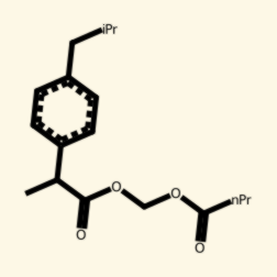 CCCC(=O)OCOC(=O)C(C)c1ccc(CC(C)C)cc1